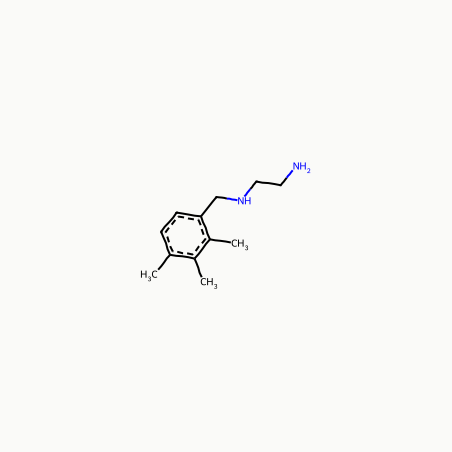 Cc1ccc(CNCCN)c(C)c1C